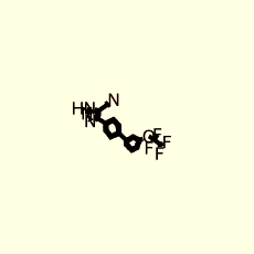 N#Cc1[nH]nnc1-c1ccc(-c2cccc(OC(F)(F)C(F)F)c2)cc1